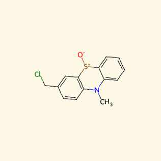 CN1c2ccccc2[S+]([O-])c2cc(CCl)ccc21